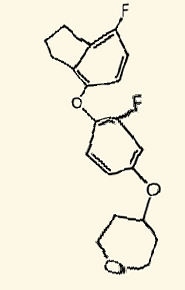 Fc1cc(OC2CCOCC2)ccc1Oc1ccc(F)c2c1CCC2